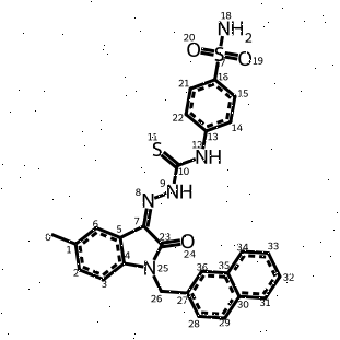 Cc1ccc2c(c1)C(=NNC(=S)Nc1ccc(S(N)(=O)=O)cc1)C(=O)N2Cc1ccc2ccccc2c1